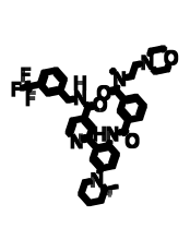 C[C@H]1CCCCN1c1ccc(NC(=O)c2cccc(C(=O)N(C)CCN3CCOCC3)c2)c(-c2cc(C(=O)NCc3cccc(C(F)(F)F)c3)ccn2)c1